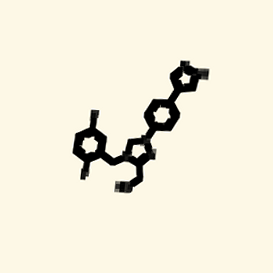 OCC1=NN(c2ccc(-c3cn[nH]c3)cc2)CN1Cc1cc(F)ccc1F